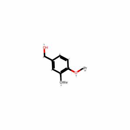 COc1cc([CH]O)ccc1OC(C)C